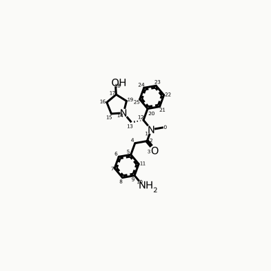 CN(C(=O)Cc1cccc(N)c1)[C@H](CN1CCC(O)C1)c1ccccc1